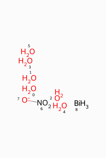 O.O.O.O.O.O.O=[N+]([O-])[O-].[BiH3]